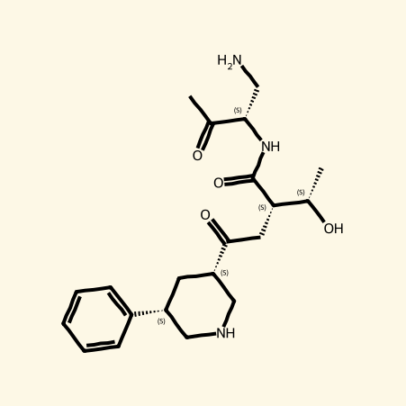 CC(=O)[C@H](CN)NC(=O)[C@@H](CC(=O)[C@@H]1CNC[C@H](c2ccccc2)C1)[C@H](C)O